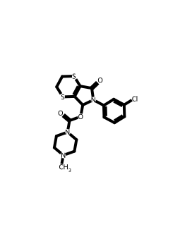 CN1CCN(C(=O)OC2C3=C(SCCS3)C(=O)N2c2cccc(Cl)c2)CC1